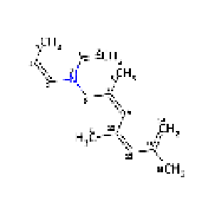 C=CN(/C=C\C)C/C(C)=C\C(C)=C/C(=C)C